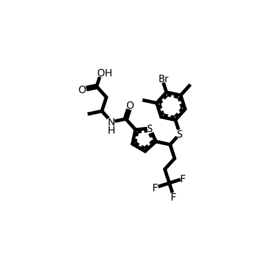 Cc1cc(SC(CCC(F)(F)F)c2ccc(C(=O)NC(C)CC(=O)O)s2)cc(C)c1Br